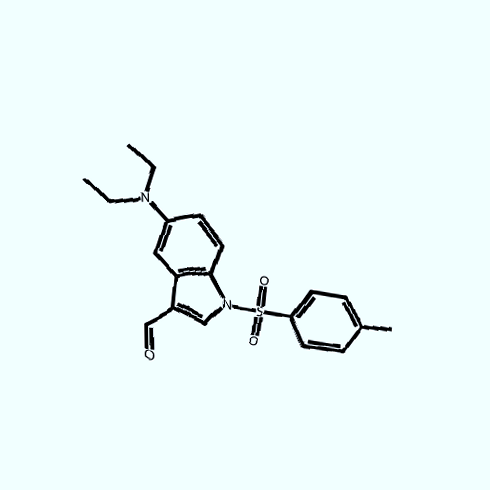 CCN(CC)c1ccc2c(c1)c(C=O)cn2S(=O)(=O)c1ccc(C)cc1